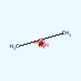 CCCCCCCCCCCCC[SiH2]CCCCCCCCCCCCC.[O]=[Cr](=[O])([OH])[OH]